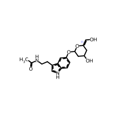 CC(=O)NCCc1c[nH]c2ccc(OC3CC(O)C/C(=C\O)O3)cc12